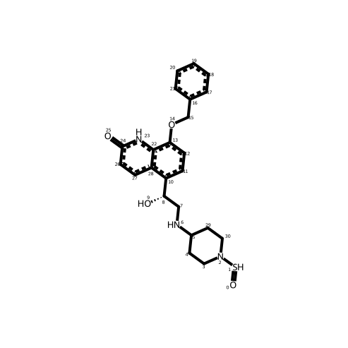 O=[SH]N1CCC(NC[C@H](O)c2ccc(OCc3ccccc3)c3[nH]c(=O)ccc23)CC1